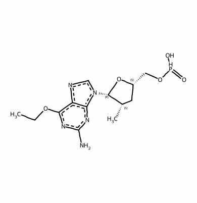 CCOc1nc(N)nc2c1ncn2[C@@H]1O[C@H](CO[PH](=O)O)C[C@@H]1C